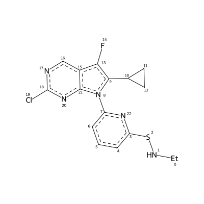 CCNSc1cccc(-n2c(C3CC3)c(F)c3cnc(Cl)nc32)n1